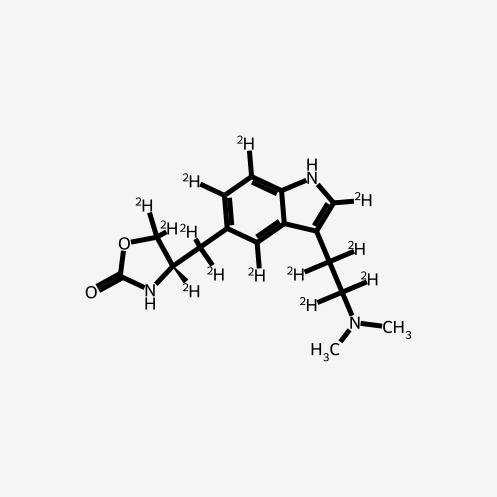 [2H]c1[nH]c2c([2H])c([2H])c(C([2H])([2H])[C@]3([2H])NC(=O)OC3([2H])[2H])c([2H])c2c1C([2H])([2H])C([2H])([2H])N(C)C